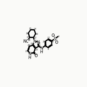 CS(=O)(=O)c1ccc(Nc2nn(C3CCCCC3C#N)c3cc[nH]c(=O)c23)cc1